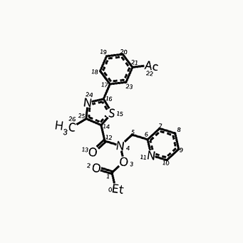 CCC(=O)ON(Cc1ccccn1)C(=O)c1sc(-c2cccc(C(C)=O)c2)nc1C